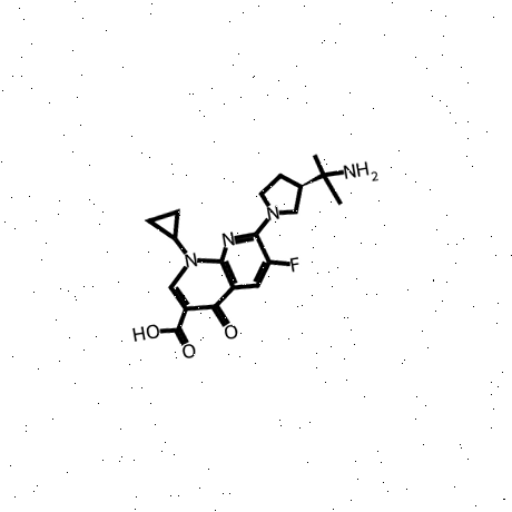 CC(C)(N)[C@@H]1CCN(c2nc3c(cc2F)c(=O)c(C(=O)O)cn3C2CC2)C1